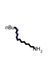 CCCC\C=C/C=C/C=C\CCCCCCCN